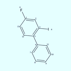 Fc1[c]c(I)c(-c2ccccc2)cc1